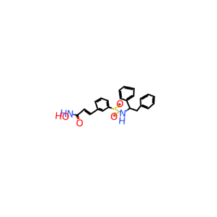 O=C(C=Cc1cccc(S(=O)(=O)NC(Cc2ccccc2)c2ccccc2)c1)NO